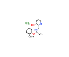 COc1ccccc1OC(C)NCc1ncccc1O.Cl.Cl